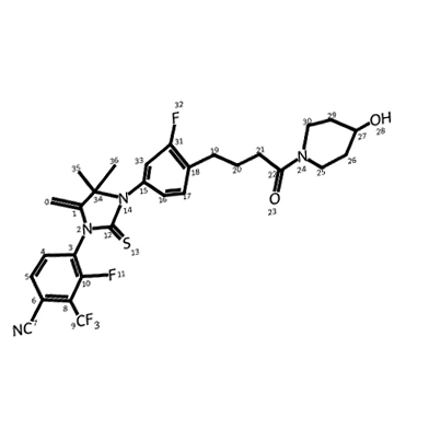 C=C1N(c2ccc(C#N)c(C(F)(F)F)c2F)C(=S)N(c2ccc(CCCC(=O)N3CCC(O)CC3)c(F)c2)C1(C)C